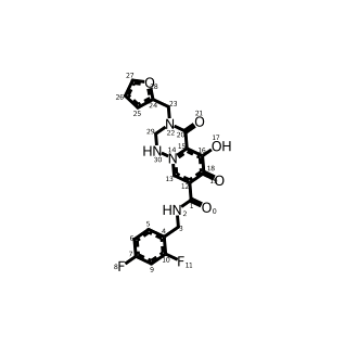 O=C(NCc1ccc(F)cc1F)c1cn2c(c(O)c1=O)C(=O)N(Cc1ccco1)CN2